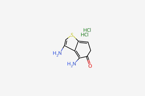 Cl.Cl.NC1=c2c(N)csc2=CCC1=O